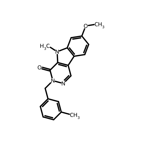 COc1ccc2c3cnn(Cc4cccc(C)c4)c(=O)c3n(C)c2c1